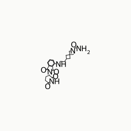 NC(=O)N1CC2(CC(CCNc3cccc4c3C(=O)N(C3CCC(=O)NC3=O)C4=O)C2)C1